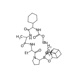 CCC(NC(=O)C(C)NC(=O)C(NC(=O)OC(C)(C)C)C1CCCCC1)C(=O)N1CCCC1B1OC2C3CC(C[C@]2(C)O1)C3(C)C